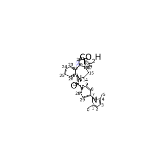 Cc1ccc(C)n1-c1ccc(C(=O)N2CCC(F)(F)/C(=C\C(=O)O)c3ccccc32)cc1